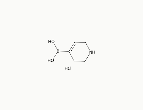 Cl.OB(O)C1=CCNCC1